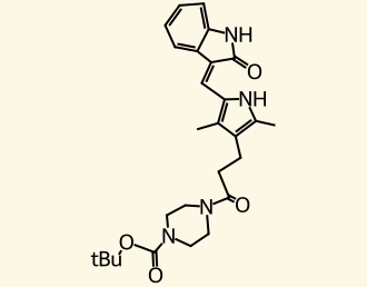 Cc1[nH]c(/C=C2\C(=O)Nc3ccccc32)c(C)c1CCC(=O)N1CCN(C(=O)OC(C)(C)C)CC1